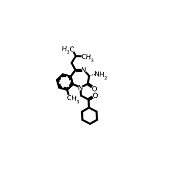 Cc1cccc2c1N(CC(=O)C1CCCCC1)C(=O)[C@@H](N)N=C2CC(C)C